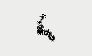 CCN(C)CC=CC(=O)N1CCc2c(sc3ncnc(Nc4ccc5c(cnn5Cc5ccccn5)c4)c23)C1